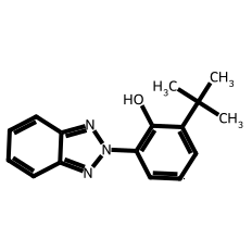 CC(C)(C)c1c[c]cc(-n2nc3ccccc3n2)c1O